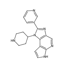 c1cncc(-c2nc3cnc4[nH]ccc4c3n2C2CCNCC2)c1